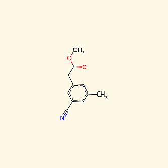 COC(=O)Cc1cc(C)cc(C#N)c1